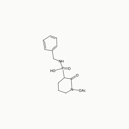 CC(=O)ON1CCCC(P(=O)(O)NCc2ccccc2)C1=O